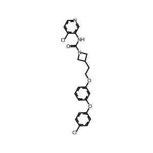 O=C(Nc1cnccc1Cl)N1CC(CCOc2cccc(Oc3ccc(Cl)cc3)c2)C1